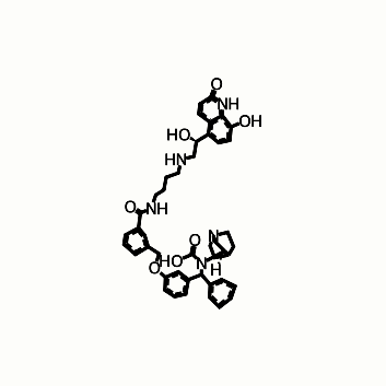 O=C(NCCCCNC[C@@H](O)c1ccc(O)c2[nH]c(=O)ccc12)c1cccc(COc2cccc(C(c3ccccc3)N(C(=O)O)[C@H]3CN4CCC3CC4)c2)c1